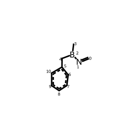 C=NB(C)Cc1ccccc1